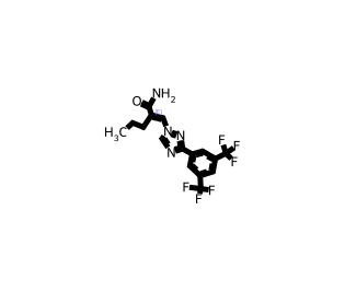 CCC/C(=C\n1cnc(-c2cc(C(F)(F)F)cc(C(F)(F)F)c2)n1)C(N)=O